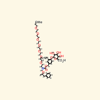 COCCOCCOCCOCCOCCOCCOCCOCCN(COC(C)Cc1ccccc1)C(=O)OCc1ccc(O[C@@H]2O[C@H](C(=O)O)[C@@H](O)[C@H](O)[C@H]2O)c(NC(C)=O)c1